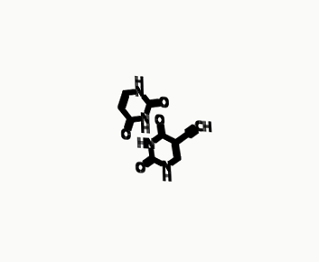 C#Cc1c[nH]c(=O)[nH]c1=O.O=c1cc[nH]c(=O)[nH]1